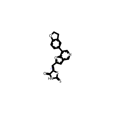 O=C1NC(=S)S/C1=C\c1cc2cncc(-c3ccc4c(c3)CCO4)c2o1